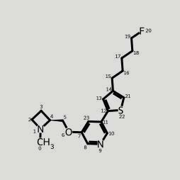 CN1CC[C@H]1COc1cncc(-c2cc(CCCCCF)cs2)c1